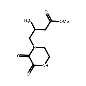 COC(=O)CC(C)CN1CCNC(=O)C1=O